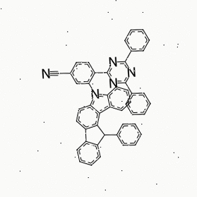 N#Cc1ccc(-c2nc(-c3ccccc3)nc(-c3ccccc3)n2)c(-n2c3ccccc3c3c4c(ccc32)-c2ccccc2C4c2ccccc2)c1